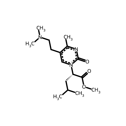 COC(=O)[C@H](CC(C)C)n1cc(CCN(C)C)c(C)nc1=O